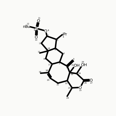 C=C1C2CC3C(C(C)C)C(OS(=O)(=O)CCCC)CC3(C)CC2/C(C)=C\CC2C(C)OC(=O)C(O)C12O